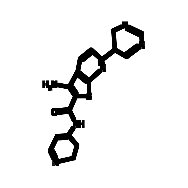 Nc1c(C(=O)NC2=CC=NCC2)sc2nc(C3C=NC=NC3)ccc12